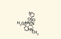 CNCc1nc(S(=O)(=O)c2cccnc2)[nH]c1-c1ccccc1OC